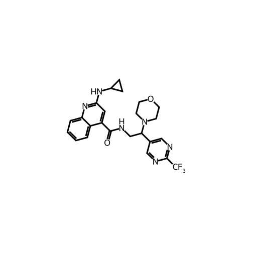 O=C(NCC(c1cnc(C(F)(F)F)nc1)N1CCOCC1)c1cc(NC2CC2)nc2ccccc12